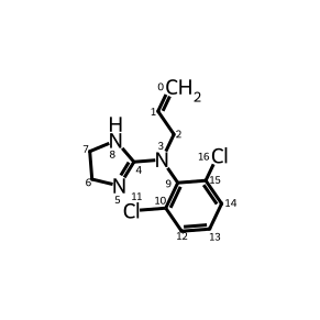 C=CCN(C1=NCCN1)c1c(Cl)cccc1Cl